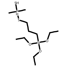 CCO[Si](CCCS[PH](C)(C)S)(OCC)OCC